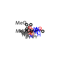 COc1ccc(C(OC[C@H]2O[C@@H](n3cnc4c(NC(=O)c5ccccc5)ncnc43)[C@H](OP(CCC#N)N(C(C)C)C(C)C)[C@H]2O[Si](C)(C)C(C)(C)C)(c2ccccc2)c2ccc(OC)cc2)cc1